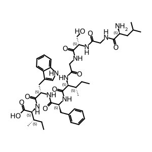 CC[C@H](C)[C@H](NC(=O)[C@H](Cc1c[nH]c2ccccc12)NC(=O)[C@H](Cc1ccccc1)NC(=O)[C@@H](NC(=O)CNC(=O)[C@H](CO)NC(=O)CNC(=O)[C@@H](N)CC(C)C)[C@@H](C)CC)C(=O)O